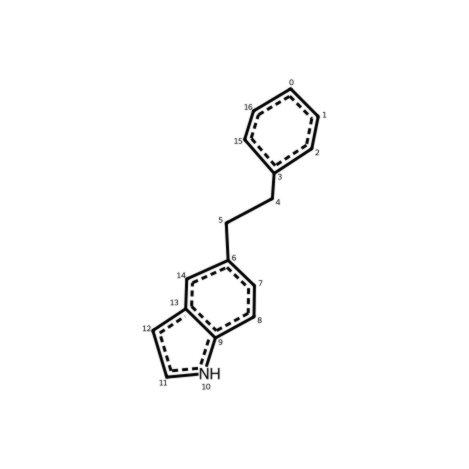 c1ccc(CCc2ccc3[nH]ccc3c2)cc1